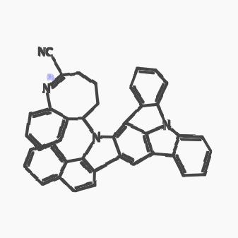 N#C/C1=N/c2ccccc2C(n2c3c4ccccc4ccc3c3cc4c5ccccc5n5c6ccccc6c(c32)c45)CCC1